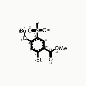 CCc1cc(OC(C)CC)c(S(C)(=O)=O)cc1C(=O)OC